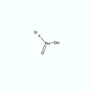 O=[PH](O)F.[Er]